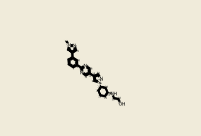 Cn1cc(-c2cccc(-c3ncc(-c4cnn([C@H]5CCC[C@H](NCCO)C5)c4)cn3)c2)cn1